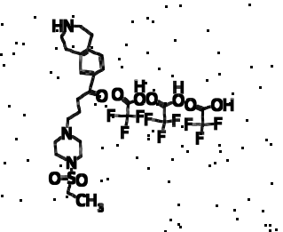 CCS(=O)(=O)N1CCN(CCCC(=O)c2ccc3c(c2)CCNCC3)CC1.O=C(O)C(F)(F)F.O=C(O)C(F)(F)F.O=C(O)C(F)(F)F